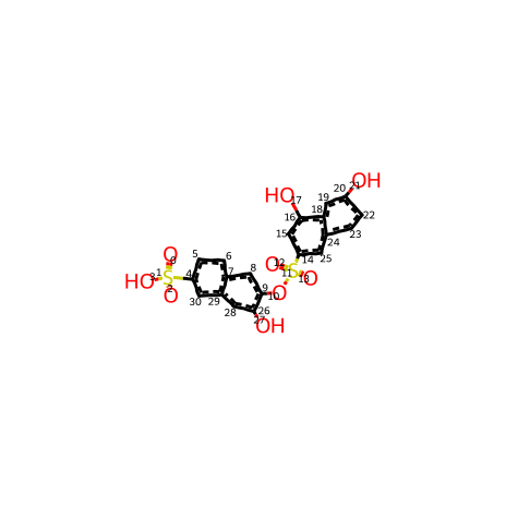 O=S(=O)(O)c1ccc2cc(OS(=O)(=O)c3cc(O)c4cc(O)ccc4c3)c(O)cc2c1